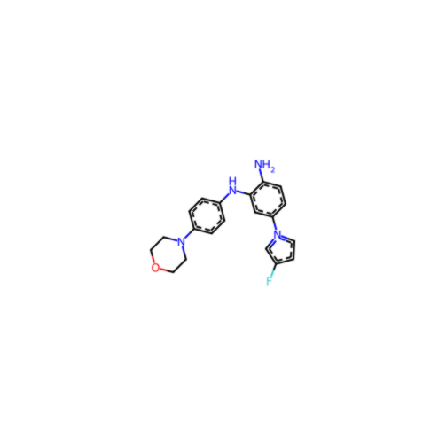 Nc1ccc(-n2ccc(F)c2)cc1Nc1ccc(N2CCOCC2)cc1